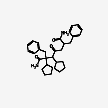 NC(=O)C(CC(=O)C(C1CCCC1)C(Cc1ccccc1)(C(N)=O)C1CCCC1)Cc1ccccc1